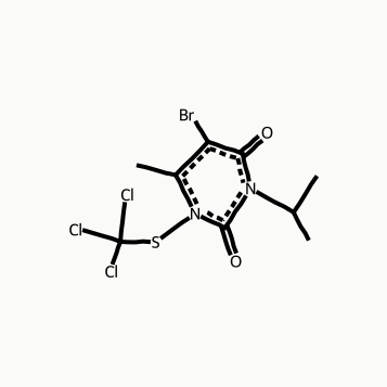 Cc1c(Br)c(=O)n(C(C)C)c(=O)n1SC(Cl)(Cl)Cl